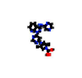 O=C(O)N1C[C@@H]2C[C@H]1CN2c1cc(-n2nc(Nc3cnccn3)c3cccnc32)ncn1